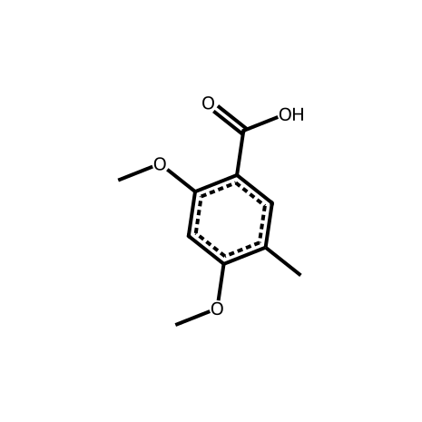 COc1cc(OC)c(C(=O)O)cc1C